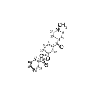 CN1CCC(C(=O)c2cccc(OS(=O)(=O)c3cccnc3)c2)CC1